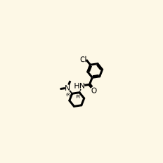 CN(C)[C@@H]1CCCC[C@H]1NC(=O)c1cccc(Cl)c1